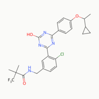 CC(Oc1ccc(-c2nc(O)nc(-c3cc(CNC(=O)C(C)(C)C(F)(F)F)ccc3Cl)n2)cc1)C1CC1